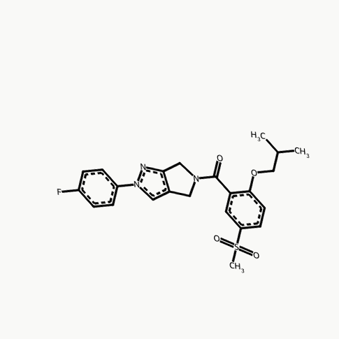 CC(C)COc1ccc(S(C)(=O)=O)cc1C(=O)N1Cc2cn(-c3ccc(F)cc3)nc2C1